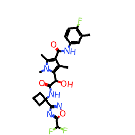 Cc1cc(NC(=O)c2c(C)c(C(O)C(=O)NC3(c4noc(C(F)F)n4)CCC3)n(C)c2C)ccc1F